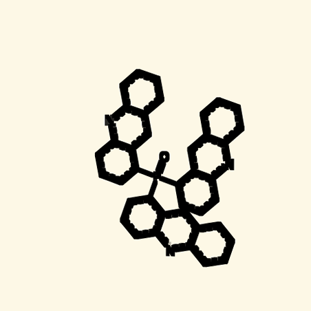 O=P(c1cccc2nc3ccccc3cc12)(c1cccc2nc3ccccc3cc12)c1cccc2nc3ccccc3cc12